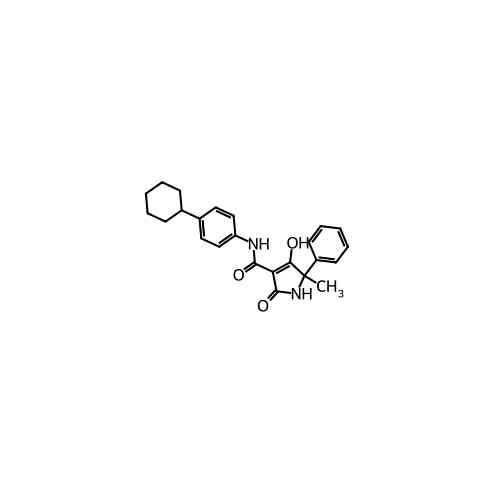 CC1(c2ccccc2)NC(=O)C(C(=O)Nc2ccc(C3CCCCC3)cc2)=C1O